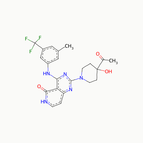 CC(=O)C1(O)CCN(c2nc(Nc3cc(C)cc(C(F)(F)F)c3)c3c(=O)[nH]ccc3n2)CC1